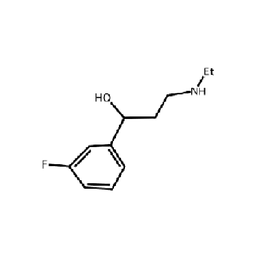 CCNCCC(O)c1cccc(F)c1